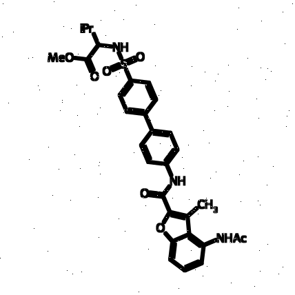 COC(=O)C(NS(=O)(=O)c1ccc(-c2ccc(NC(=O)c3oc4cccc(NC(C)=O)c4c3C)cc2)cc1)C(C)C